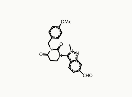 COc1ccc(CN2C(=O)CCN(c3c4ccc(C=O)cc4nn3C)C2=O)cc1